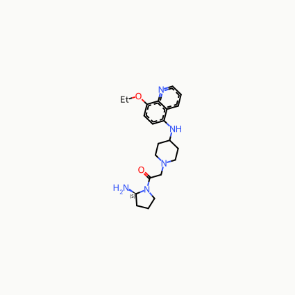 CCOc1ccc(NC2CCN(CC(=O)N3CCC[C@H]3N)CC2)c2cccnc12